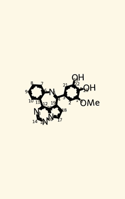 COc1cc(C2=Nc3ccccc3-c3ncnn4ccc2c34)cc(O)c1O